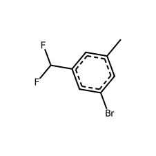 Cc1cc(Br)cc(C(F)F)c1